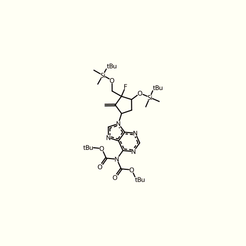 C=C1C(n2cnc3c(N(C(=O)OC(C)(C)C)C(=O)OC(C)(C)C)ncnc32)CC(O[Si](C)(C)C(C)(C)C)C1(F)CO[Si](C)(C)C(C)(C)C